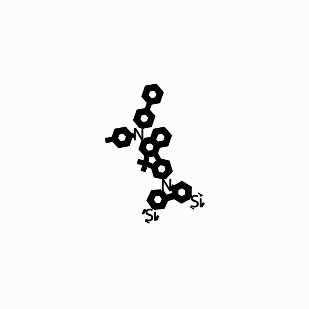 Cc1ccc(N(c2ccc(-c3ccccc3)cc2)c2cc3c(c4ccccc24)-c2ccc(-n4c5ccc([Si](C)(C)C)cc5c5cc([Si](C)(C)C)ccc54)cc2C3(C)C)cc1